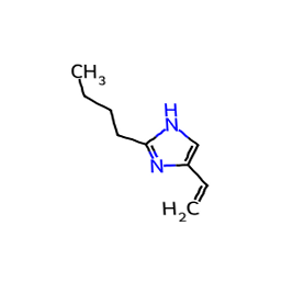 C=Cc1c[nH]c(CCCC)n1